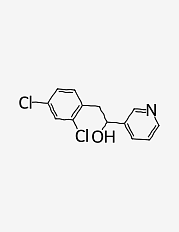 OC(Cc1ccc(Cl)cc1Cl)c1cccnc1